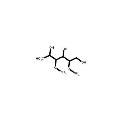 NOC(CO)C(O)C(ON)C(O)C(=O)O